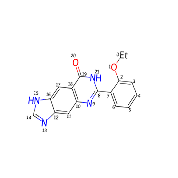 CCOc1ccccc1-c1nc2cc3nc[nH]c3cc2c(=O)[nH]1